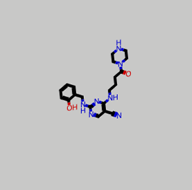 N#Cc1cnc(NCc2ccccc2O)nc1NCCCC(=O)N1CCNCC1